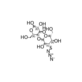 [N-]=[N+]=NS[C@@H]1[C@@H](O)[C@@H](O[C@H]2[C@H](O)[C@@H](O)[C@H](O)O[C@@H]2CO)O[C@H](CO)[C@H]1O